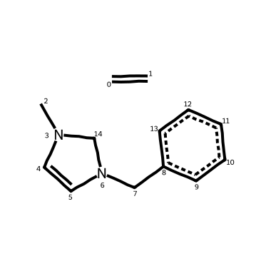 C=C.CN1C=CN(Cc2ccccc2)C1